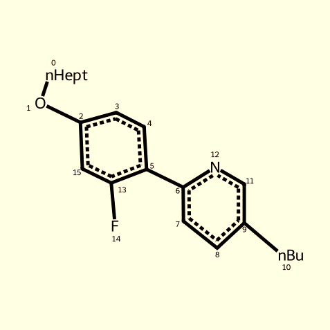 CCCCCCCOc1ccc(-c2ccc(CCCC)cn2)c(F)c1